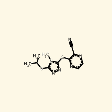 CC(C)Sc1nnc(Sc2nccnc2C#N)n1C